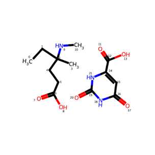 CCC(C)(CCC(=O)O)NC.O=C(O)c1cc(=O)[nH]c(=O)[nH]1